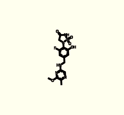 COc1nc(NCc2cc(O)c(N3CC(=O)NS3(=O)=O)c(F)c2)cnc1C